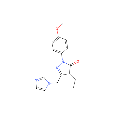 CCC1C(=O)N(c2ccc(OC)cc2)N=C1Cn1ccnc1